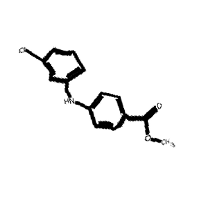 COC(=O)c1ccc(Nc2cccc(Cl)c2)cc1